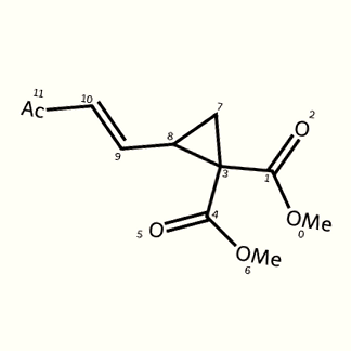 COC(=O)C1(C(=O)OC)CC1C=CC(C)=O